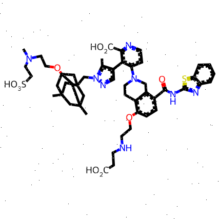 Cc1c(-c2c(N3CCc4c(OCCNCCC(=O)O)ccc(C(=O)Nc5nc6ccccc6s5)c4C3)ccnc2C(=O)O)cnn1CC12CC3(C)CC(C)(C1)CC(OCCN(C)CCS(=O)(=O)O)(C3)C2